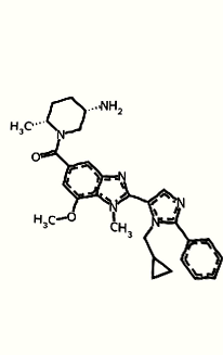 COc1cc(C(=O)N2C[C@@H](N)CC[C@H]2C)cc2nc(-c3cnc(-c4ccccc4)n3CC3CC3)n(C)c12